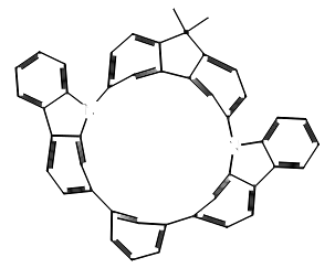 CC1(C)c2ccc3cc2c2cc(ccc21)n1c2ccccc2c2ccc(cc21)c1cccc(c1)c1ccc2c4ccccc4n3c2c1